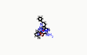 Cc1c([C@H]2C[C@H]3CC[C@@H](C2)N3C(=O)c2nnc[nH]2)nc2c(-c3ccc(-c4ccccc4)nc3)cnn2c1N